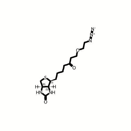 [N-]=[N+]=NCCOCCC(=O)CCCC[C@@H]1SC[C@@H]2NC(=O)N[C@@H]21